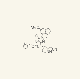 COc1cc(-n2c(C)nc3c(N4CCNC(CC#N)C4)nc(OCC4CCCN4C)nc3c2=O)c2ccccc2c1